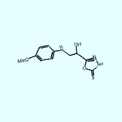 COc1ccc(NCC(O)c2n[nH]c(=S)o2)cc1